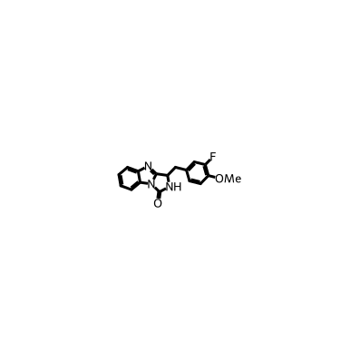 COc1ccc(CC2NC(=O)n3c2nc2ccccc23)cc1F